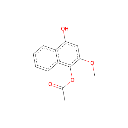 COc1cc(O)c2ccccc2c1OC(C)=O